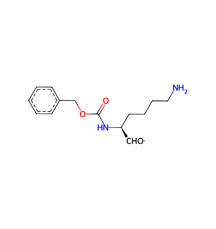 NCCCC[C@@H]([C]=O)NC(=O)OCc1ccccc1